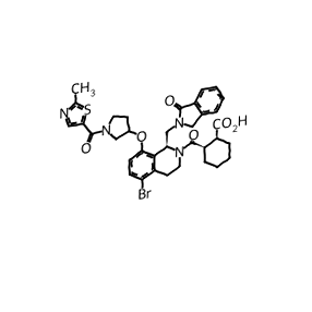 Cc1ncc(C(=O)N2CCC(Oc3ccc(Br)c4c3[C@@H](CN3Cc5ccccc5C3=O)N(C(=O)[C@@H]3CCCC[C@@H]3C(=O)O)CC4)C2)s1